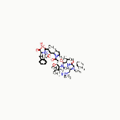 CC[C@H](C)[C@@H]([C@@H](CC(=O)N1CCC[C@H]1[C@H](OC)[C@@H](C)C(=O)N[C@@H](Cc1ccccc1)C(=O)O)OC)N(C)C(=O)[C@@H](NC(=O)[C@H](C(C)C)N(C)CCNC)C(C)C